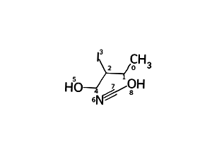 CCC(I)CO.N#CO